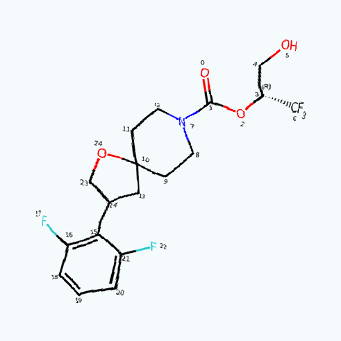 O=C(O[C@H](CO)C(F)(F)F)N1CCC2(CC1)CC(c1c(F)cccc1F)CO2